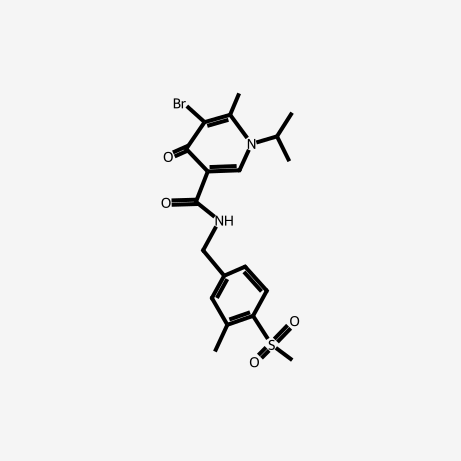 Cc1cc(CNC(=O)c2cn(C(C)C)c(C)c(Br)c2=O)ccc1S(C)(=O)=O